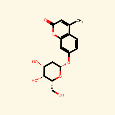 Cc1cc(=O)oc2cc(O[C@H]3C[C@@H](O)[C@@H](O)[C@@H](CO)O3)ccc12